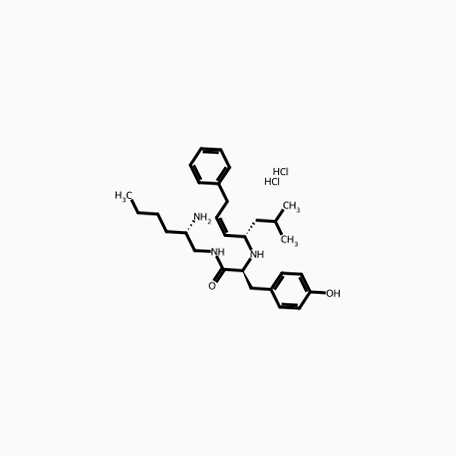 CCCC[C@H](N)CNC(=O)[C@H](Cc1ccc(O)cc1)N[C@H](/C=C\Cc1ccccc1)CC(C)C.Cl.Cl